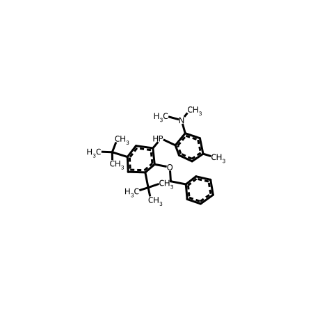 Cc1ccc(Pc2cc(C(C)(C)C)cc(C(C)(C)C)c2OCc2ccccc2)c(N(C)C)c1